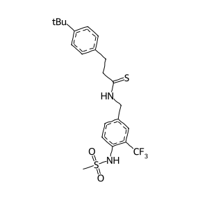 CC(C)(C)c1ccc(CCC(=S)NCc2ccc(NS(C)(=O)=O)c(C(F)(F)F)c2)cc1